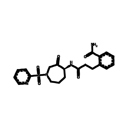 NC(=O)c1ccccc1C[CH]C(=O)N[C@H]1CCCN(S(=O)(=O)c2ccccn2)CC1=O